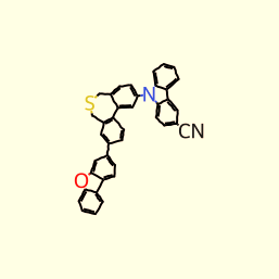 N#Cc1ccc2c(c1)c1ccccc1n2-c1ccc2c(c1)-c1ccc(-c3ccc4c(c3)oc3ccccc34)cc1CSC2